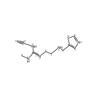 CN/C(=N/CCNCc1cncs1)NC#N